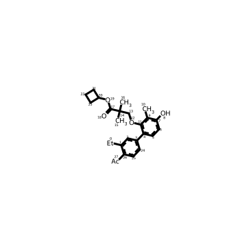 CCc1cc(-c2ccc(O)c(C)c2OCC(C)(C)C(=O)OC2CCC2)ccc1C(C)=O